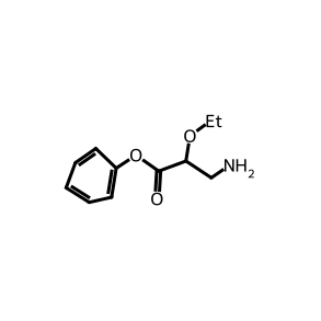 [CH2]COC(CN)C(=O)Oc1ccccc1